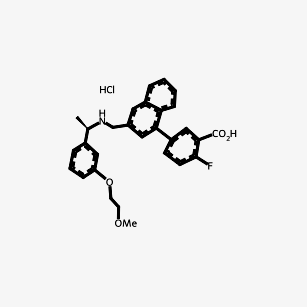 COCCOc1cccc([C@@H](C)NCc2cc(-c3ccc(F)c(C(=O)O)c3)c3ccccc3c2)c1.Cl